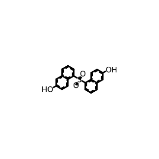 O=S(=O)(c1cccc2cc(O)ccc12)c1cccc2cc(O)ccc12